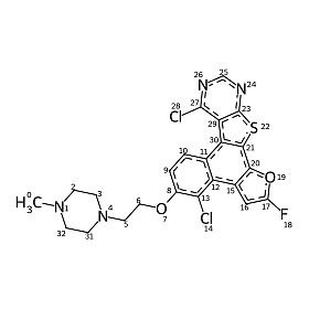 CN1CCN(CCOc2ccc3c(c2Cl)c2cc(F)oc2c2sc4ncnc(Cl)c4c32)CC1